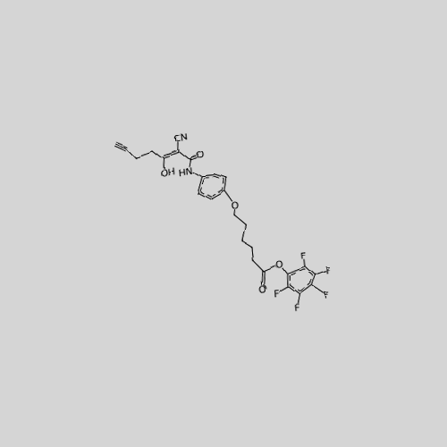 C#CCCC(O)=C(C#N)C(=O)Nc1ccc(OCCCCCC(=O)Oc2c(F)c(F)c(F)c(F)c2F)cc1